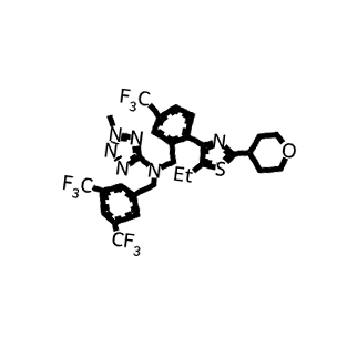 CCc1sc(C2CCOCC2)nc1-c1ccc(C(F)(F)F)cc1CN(Cc1cc(C(F)(F)F)cc(C(F)(F)F)c1)c1nnn(C)n1